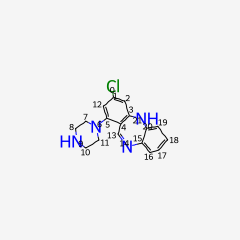 Clc1cc2c(c(N3CCNCC3)c1)C=Nc1ccccc1N2